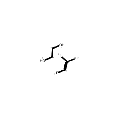 FC=C(F)F.OCCO